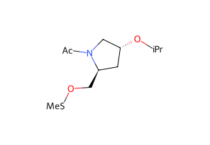 CSOC[C@@H]1C[C@@H](OC(C)C)CN1C(C)=O